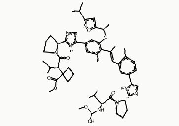 COC(=O)C1([C@H](C(=O)N2CCC[C@H]2c2ncc(-c3cc(F)c(/C(C)=C/c4cc(-c5cnc([C@@H]6CCCN6C(=O)[C@@H](NC(O)OC)C(C)C)[nH]5)ccc4C)c(O[C@H](C)c4cc(C(C)C)no4)c3)[nH]2)C(C)C)CCC1